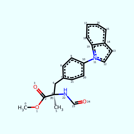 COC(=O)[C@@](C)(Cc1ccc(-n2ccc3ccccc32)cc1)NC=O